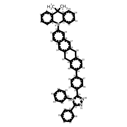 CC1(C)c2ccccc2N(c2ccc3cc4c(cc3c2)Cc2ccc(-c3ccc(-c5nnc(-c6ccccc6)n5-c5ccccc5)cc3)cc2C4)c2ccccc21